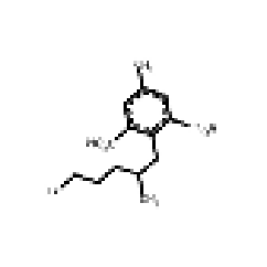 Cc1cc(C(=O)O)c(CC(C)CCCC(C)C)c(C(=O)O)c1